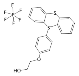 F[P-](F)(F)(F)(F)F.OCCOc1ccc([S+]2c3ccccc3Sc3ccccc32)cc1